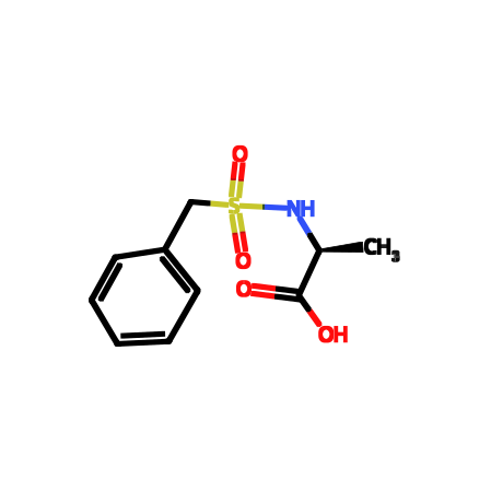 C[C@H](NS(=O)(=O)Cc1ccccc1)C(=O)O